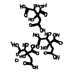 O=C(O)CC(O)(C(=O)O)C(O)C(=O)O.O=C(O)CC(O)(C(=O)O)C(O)C(=O)O.O=C(O)CC(O)(C(=O)O)C(O)C(=O)O.[Cr]